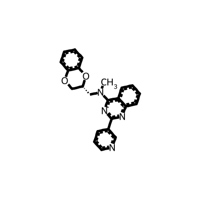 CN(C[C@@H]1COc2ccccc2O1)c1nc(-c2cccnc2)nc2ccccc12